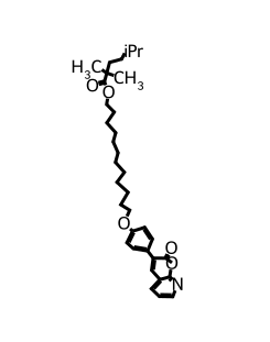 CC(C)CCC(C)(C)C(=O)OCCCCCCCCCCCCOc1ccc(-c2cc3cccnc3oc2=O)cc1